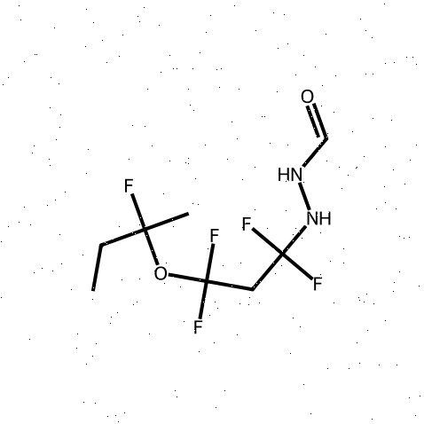 CCC(C)(F)OC(F)(F)CC(F)(F)NNC=O